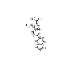 C=C(/C=N\c1[nH]cc(C(=O)C(C)(C)C)c1N)c1ccc2[nH]ncc2c1